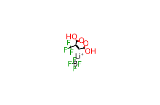 F[B-](F)(F)F.O=C(O)/C=C(\C(=O)O)C(F)(F)F.[Li+]